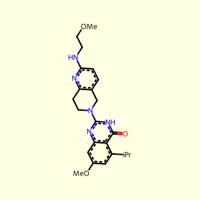 COCCNc1ccc2c(n1)CCN(c1nc3cc(OC)cc(C(C)C)c3c(=O)[nH]1)C2